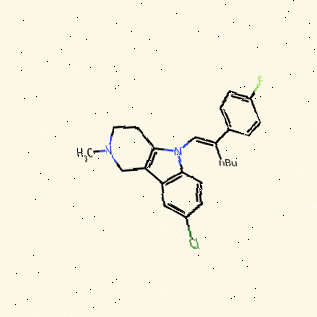 CCCC/C(=C\n1c2c(c3cc(Cl)ccc31)CN(C)CC2)c1ccc(F)cc1